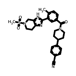 Cc1ccc(C(=O)N2CCC(c3ccc(C#N)cc3)CC2)cc1-c1nc2c([nH]1)CN(S(C)(=O)=O)CC2